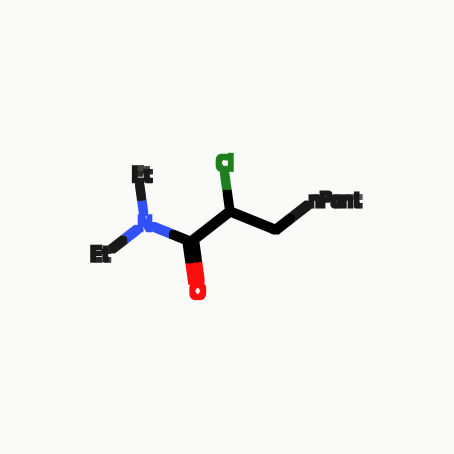 CCCCCCC(Cl)C(=O)N(CC)CC